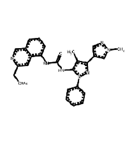 COCc1cc2c(NC(=O)Nc3c(C)c(-c4cnn(C)c4)nn3-c3ccccc3)cccc2cn1